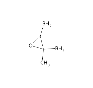 BC1OC1(B)C